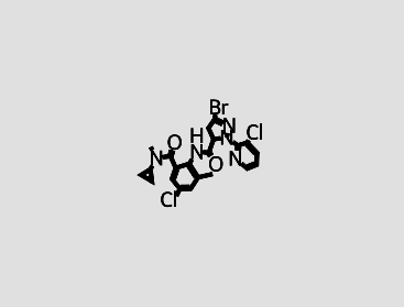 Cc1cc(Cl)cc(C(=O)N(C)C2CC2)c1NC(=O)C1CC(Br)=NN1c1ncccc1Cl